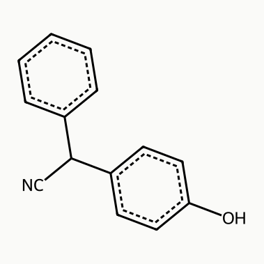 N#CC(c1ccccc1)c1ccc(O)cc1